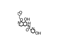 O=C(Nc1cc(O)c2c(OCC3CCOC3)nccc2c1)c1ccc(O)cn1